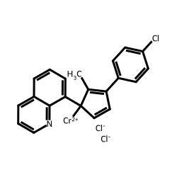 CC1=C(c2ccc(Cl)cc2)C=C[C]1([Cr+2])c1cccc2cccnc12.[Cl-].[Cl-]